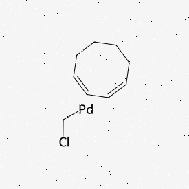 C1=C\CCCC\C=C/1.Cl[CH2][Pd]